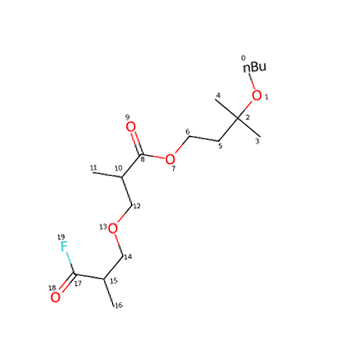 CCCCOC(C)(C)CCOC(=O)C(C)COCC(C)C(=O)F